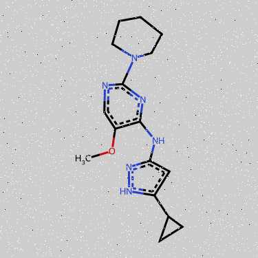 COc1cnc(N2CCCCC2)nc1Nc1cc(C2CC2)[nH]n1